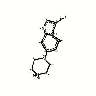 [2H]c1cnn2cc(N3CCNCC3)ccc12